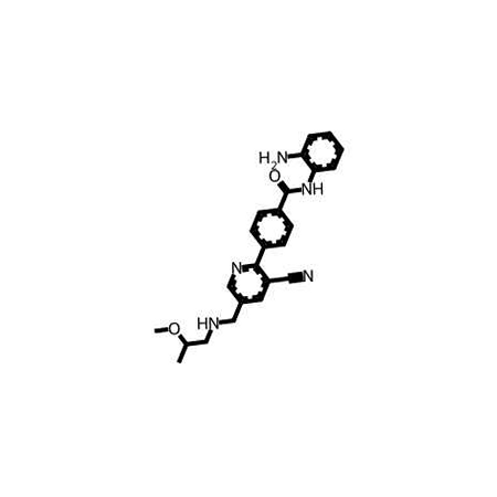 COC(C)CNCc1cnc(-c2ccc(C(=O)Nc3ccccc3N)cc2)c(C#N)c1